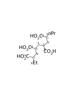 CCCC(CC(CC(CC(CC)C(=O)O)C(=O)O)C(=O)O)C(=O)O